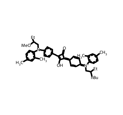 CCCCC(CC)C[N+](=C1C=CC(=C2C(=O)C(c3ccc(N(CC(CC)OC)c4ccc(C)cc4C)cc3)=C2O)C=C1)c1ccc(C)cc1C